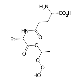 CC[C@H](NC(=O)CC[C@H](N)C(=O)O)C(=O)O[C@@H](C)OOO